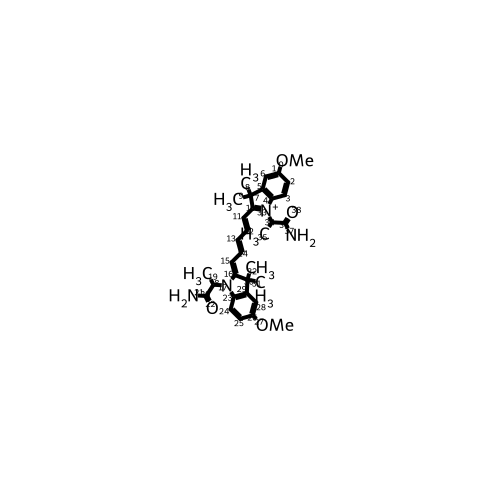 COc1ccc2c(c1)C(C)(C)C(/C=C/C=C/C=C1/N(C(C)C(N)=O)c3ccc(OC)cc3C1(C)C)=[N+]2C(C)C(N)=O